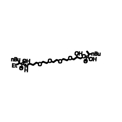 CCCCC(CC)P(=O)(O)NCCCOCCOCCOCCOCC(O)COP(=O)(O)C(C)CCCC